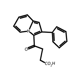 O=C(O)CCC(=O)c1c(-c2ccccc2)cc2ccccn12